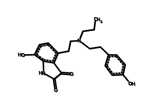 CCCN(CCc1ccc(O)cc1)CCc1ccc(O)c2c1C(=O)C(=O)N2